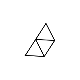 C1C2C3CC123